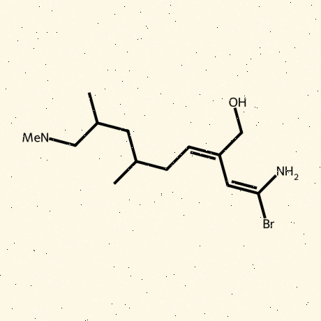 CNCC(C)CC(C)C/C=C(\C=C(/N)Br)CO